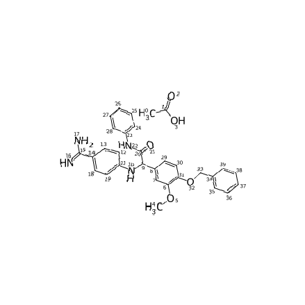 CC(=O)O.COc1cc(C(Nc2ccc(C(=N)N)cc2)C(=O)Nc2ccccc2)ccc1OCc1ccccc1